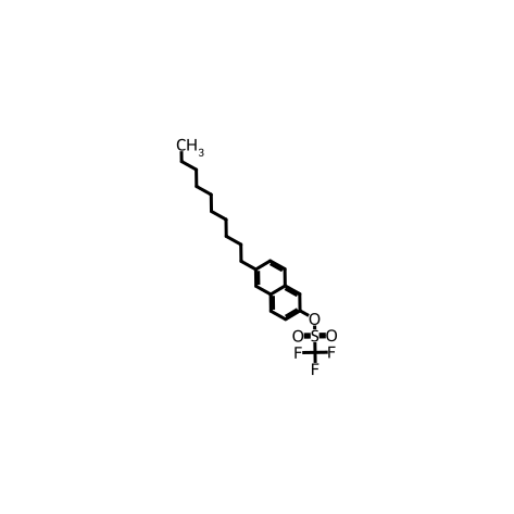 CCCCCCCCCCc1ccc2cc(OS(=O)(=O)C(F)(F)F)ccc2c1